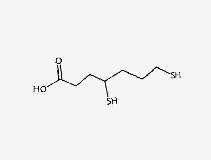 O=C(O)CCC(S)CCCS